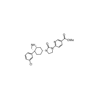 COC(=O)c1ccc(N2CCN([C@H]3CC[C@](CN)(c4cccc(Cl)c4)CC3)C2=O)nc1